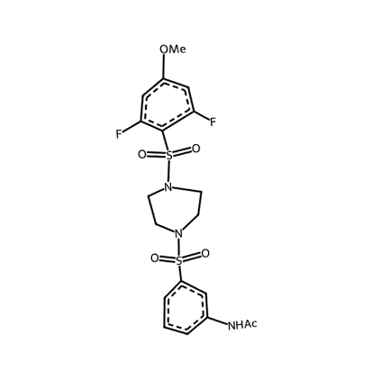 COc1cc(F)c(S(=O)(=O)N2CCN(S(=O)(=O)c3cccc(NC(C)=O)c3)CC2)c(F)c1